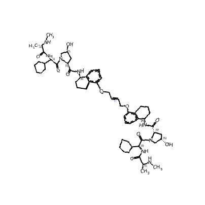 CN[C@@H](C)C(=O)N[C@H](C(=O)N1C[C@@H](O)C[C@H]1C(=O)N[C@@H]1CCCc2c(OC/C=C/COc3cccc4c3CCC[C@H]4NC(=O)[C@@H]3C[C@H](O)CN3C(=O)[C@@H](NC(=O)[C@H](C)NC)C3CCCCC3)cccc21)C1CCCCC1